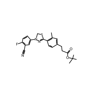 Cc1cc(CCC(=O)OC(C)(C)C)ccc1C1=NN(c2ccc(F)c(C#N)c2)CS1